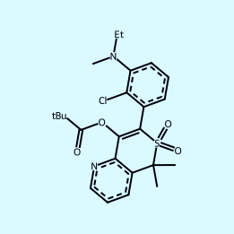 CCN(C)c1cccc(C2=C(OC(=O)C(C)(C)C)c3ncccc3C(C)(C)S2(=O)=O)c1Cl